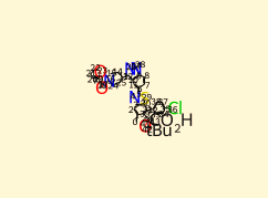 Cc1cc2nc(-c3ccc4c(c3)c(C3CCN(C(=O)[C@@H]5CCCO5)CC3)nn4C)sc2c(-c2ccc(Cl)cc2)c1C(OC(C)(C)C)C(=O)O